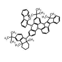 CC(C)(C)c1cc2c3c(c1)-n1c4c(c5cccc(c51)B3c1ccc(N3c5ccc(C(C)(C)C)cc5C5(C)CCCCC35C)cc1N2c1cccc2c1oc1ccccc12)-c1ccccc1C4(C)C